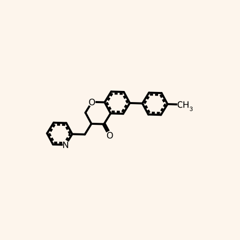 Cc1ccc(-c2ccc3c(c2)C(=O)C(Cc2ccccn2)CO3)cc1